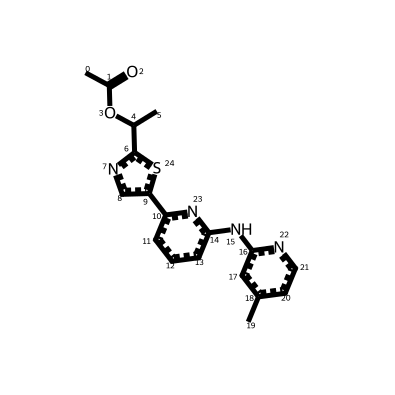 CC(=O)OC(C)c1ncc(-c2cccc(Nc3cc(C)ccn3)n2)s1